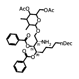 CCCCCCCCCCCCCC[C@@H](OC(=O)c1ccccc1)[C@@H](OC(=O)c1ccccc1)[C@@H](N)COC1OC(COC(C)=O)C(OC(C)=O)C(C)C1C